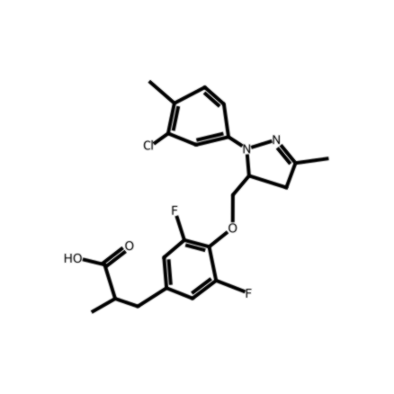 CC1=NN(c2ccc(C)c(Cl)c2)C(COc2c(F)cc(CC(C)C(=O)O)cc2F)C1